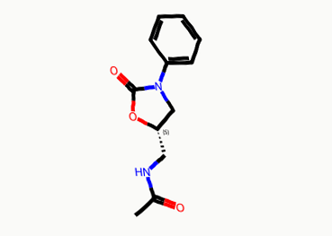 CC(=O)NC[C@H]1CN(c2ccccc2)C(=O)O1